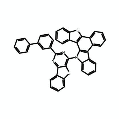 c1ccc(-c2cccc(-c3nc(-n4c5ccccc5c5c6ccccc6c6sc7ccccc7c6c54)c4sc5ccccc5c4n3)c2)cc1